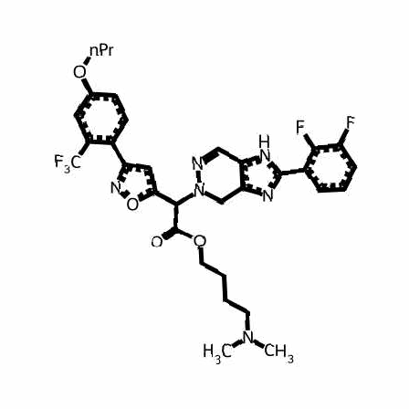 CCCOc1ccc(-c2cc(C(C(=O)OCCCCN(C)C)N3Cc4nc(-c5cccc(F)c5F)[nH]c4C=N3)on2)c(C(F)(F)F)c1